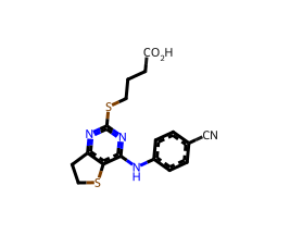 N#Cc1ccc(Nc2nc(SCCCC(=O)O)nc3c2SCC3)cc1